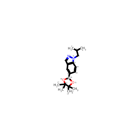 CC(C)Cn1ncc2cc(B3OC(C)(C)C(C)(C)O3)ccc21